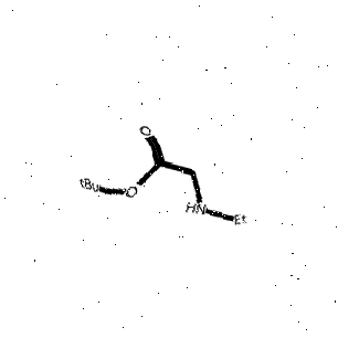 [CH2]CNCC(=O)OC(C)(C)C